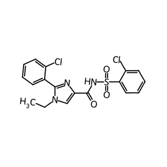 CCn1cc(C(=O)NS(=O)(=O)c2ccccc2Cl)nc1-c1ccccc1Cl